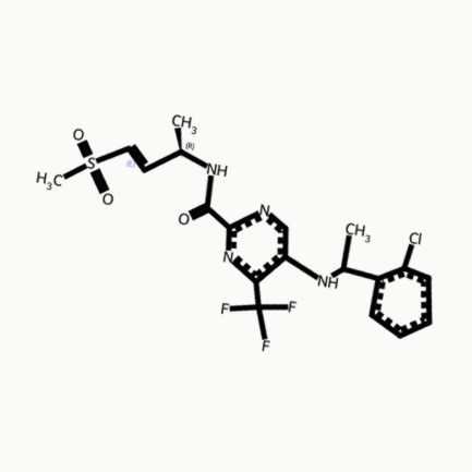 CC(Nc1cnc(C(=O)N[C@H](C)/C=C/S(C)(=O)=O)nc1C(F)(F)F)c1ccccc1Cl